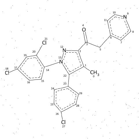 Cc1c(C(=O)Cc2ccncc2)nn(-c2ccc(Cl)cc2Cl)c1-c1ccc(Cl)cc1